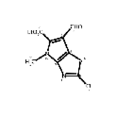 CCOC(=O)c1c(C=O)c2sc(Cl)nc2n1C